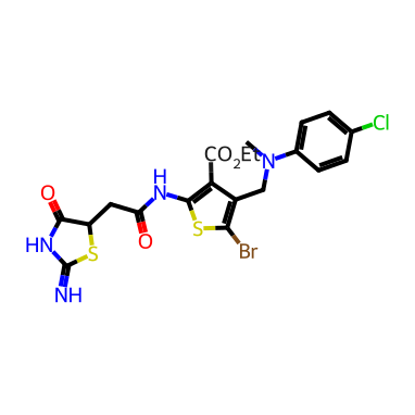 CCOC(=O)c1c(NC(=O)CC2SC(=N)NC2=O)sc(Br)c1CN(C)c1ccc(Cl)cc1